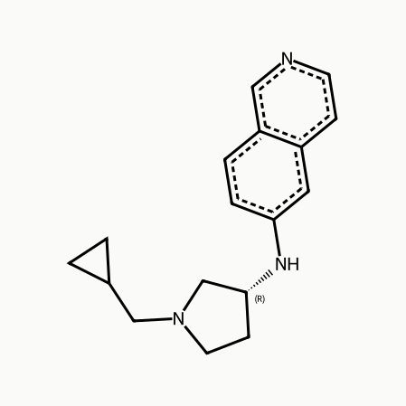 c1cc2cc(N[C@@H]3CCN(CC4CC4)C3)ccc2cn1